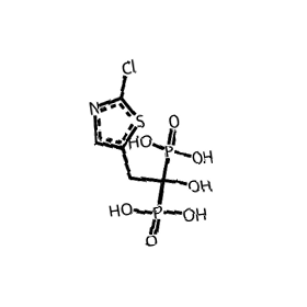 O=P(O)(O)C(O)(Cc1cnc(Cl)s1)P(=O)(O)O